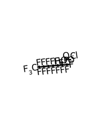 O=P(O)(OCl)C(F)(F)C(F)(F)C(F)(F)C(F)(F)C(F)(F)C(F)(F)C(F)(F)C(F)(F)F